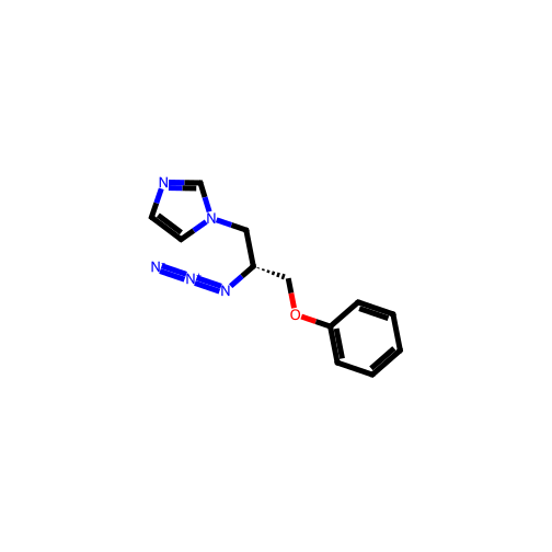 [N-]=[N+]=N[C@@H](COc1ccccc1)Cn1ccnc1